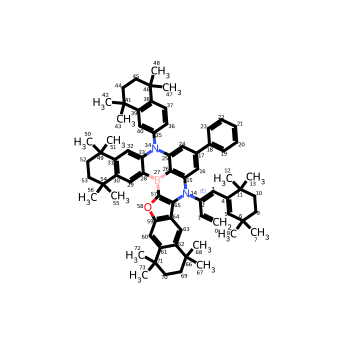 C=C/C(=C\C1=CC(C)(C)CCC1(C)C)N1c2cc(-c3ccccc3)cc3c2B(c2cc4c(cc2N3c2ccc3c(c2)C(C)(C)CCC3(C)C)C(C)(C)CCC4(C)C)c2oc3cc4c(cc3c21)C(C)(C)CCC4(C)C